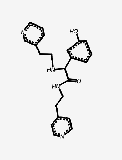 O=C(NCCc1ccncc1)C(NCCc1cccnc1)c1cccc(O)c1